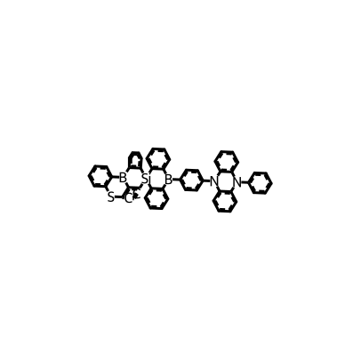 c1ccc(N2c3ccccc3N(c3ccc(B4c5ccccc5[Si]5(c6ccccc64)c4ccccc4B4c6ccccc6Sc6cccc5c64)cc3)c3ccccc32)cc1